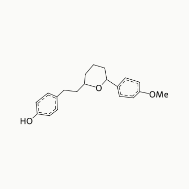 COc1ccc(C2CCCC(CCc3ccc(O)cc3)O2)cc1